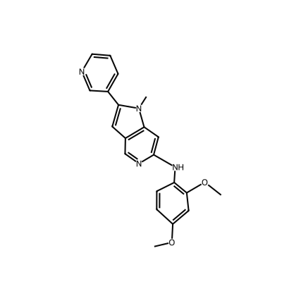 COc1ccc(Nc2cc3c(cn2)cc(-c2cccnc2)n3C)c(OC)c1